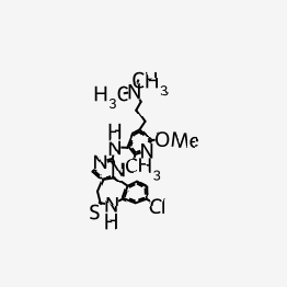 COc1nc(C)c(Nc2ncc3c(n2)-c2ccc(Cl)cc2NC(=S)C3)cc1CCCN(C)C